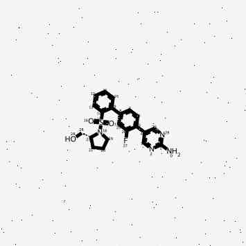 Nc1ncc(-c2ccc(-c3ccccc3S(=O)(=O)N3CCC[C@@H]3CO)cc2F)cn1